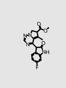 COC(=O)C1CN2N=CN=C(C3C(=O)Nc4cc(F)ccc43)C2=C1C